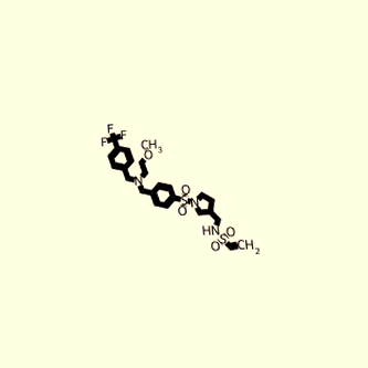 C=CS(=O)(=O)NCC1CCN(S(=O)(=O)c2ccc(CN(CCOC)Cc3ccc(C(F)(F)F)cc3)cc2)C1